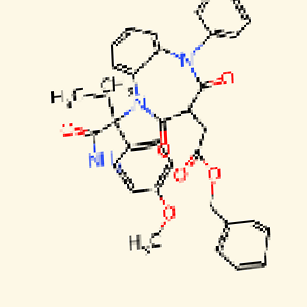 COc1ccc(C(C(N)=O)(C(C)C)N2C(=O)[C](CC(=O)OCc3ccccc3)C(=O)N(c3ccccc3)c3ccccc32)cc1